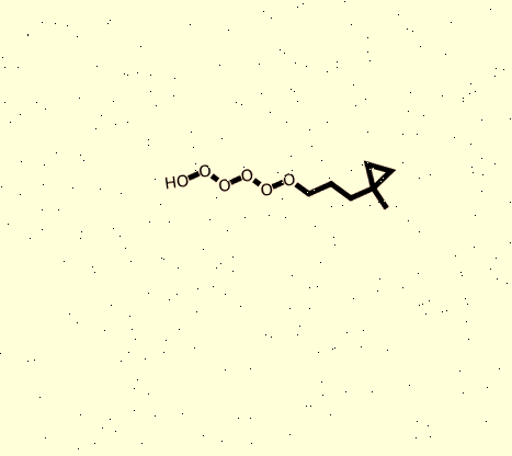 CC1(CCCOOOOOO)CC1